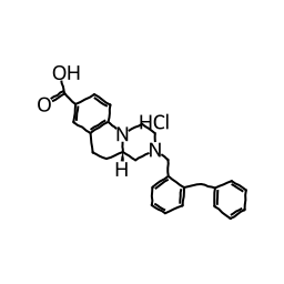 Cl.O=C(O)c1ccc2c(c1)CC[C@H]1CN(Cc3ccccc3Cc3ccccc3)CCN21